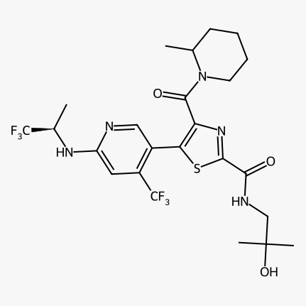 CC1CCCCN1C(=O)c1nc(C(=O)NCC(C)(C)O)sc1-c1cnc(N[C@H](C)C(F)(F)F)cc1C(F)(F)F